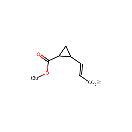 CCOC(=O)C=CC1CC1C(=O)OC(C)(C)C